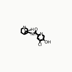 O=C(N[C@@H]1CC2CCN(CC2)C1)c1cc(Cl)c(O)cn1